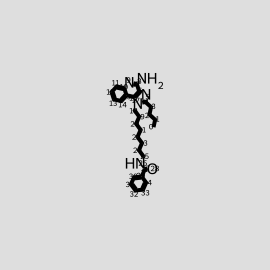 CCCCc1nc2c(N)nc3ccccc3c2n1CCCCCCCCNC(=O)c1ccccc1